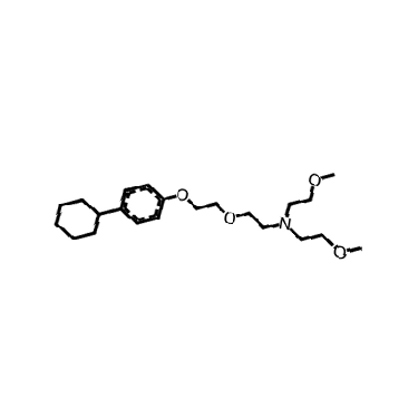 COCCN(CCOC)CCOCCOc1ccc(C2CCCCC2)cc1